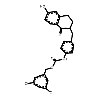 O=C(Nc1ccc(CC2CCc3cc(O)ccc3C2=O)cc1)OCc1cc(Cl)cc(Cl)c1